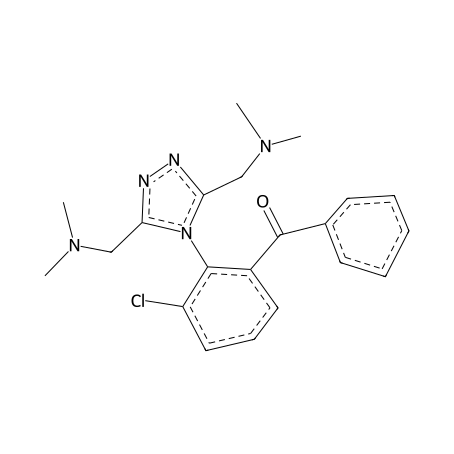 CN(C)Cc1nnc(CN(C)C)n1-c1c(Cl)cccc1C(=O)c1ccccc1